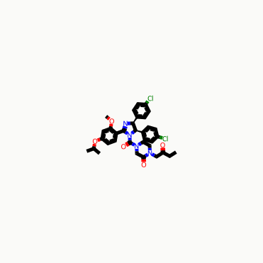 CCC(=O)CN1CCN(C(=O)N2C(c3ccc(OC(C)C)cc3OC)=N[C@@H](c3ccc(Cl)cc3)[C@H]2c2ccc(Cl)cc2)CC1=O